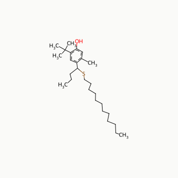 CCCCCCCCCCCCSC(CCC)c1cc(C(C)(C)C)c(O)cc1C